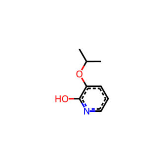 CC(C)Oc1cccnc1O